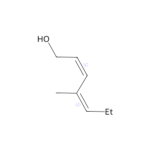 CC/C=C(C)\C=C/CO